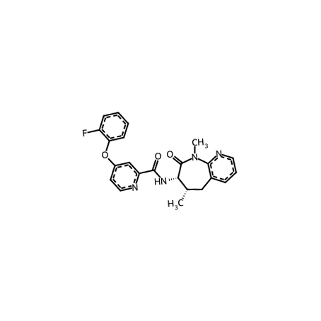 C[C@H]1Cc2cccnc2N(C)C(=O)[C@H]1NC(=O)c1cc(Oc2ccccc2F)ccn1